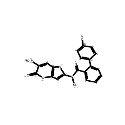 CN(C(=O)c1ccccc1-c1ccc(F)cc1)c1cc2oc(=O)c(C(=O)O)cc2s1